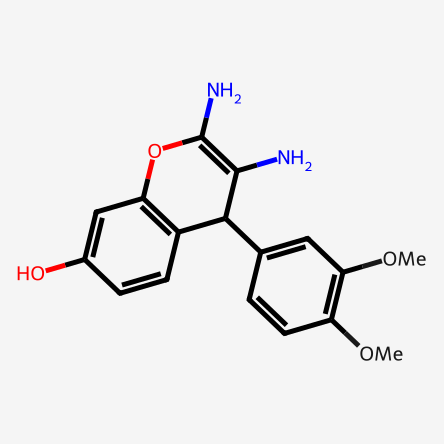 COc1ccc(C2C(N)=C(N)Oc3cc(O)ccc32)cc1OC